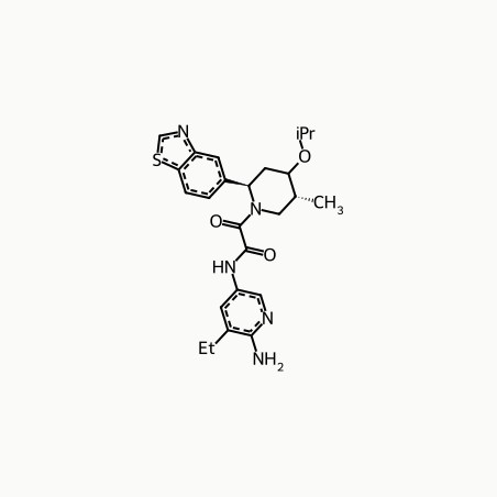 CCc1cc(NC(=O)C(=O)N2C[C@@H](C)C(OC(C)C)C[C@@H]2c2ccc3scnc3c2)cnc1N